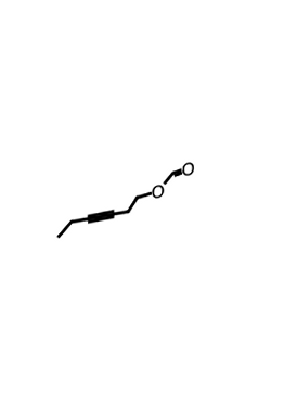 CCC#CCCOC=O